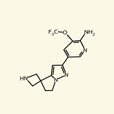 Nc1ncc(-c2cc3n(n2)CCC32CNC2)cc1OC(F)(F)F